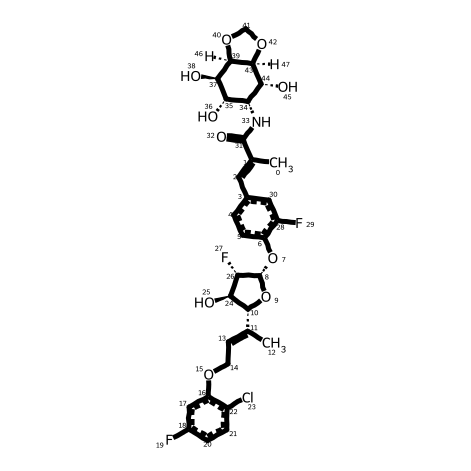 C/C(=C\c1ccc(O[C@@H]2O[C@H](/C(C)=C/COc3cc(F)ccc3Cl)[C@@H](O)[C@@H]2F)c(F)c1)C(=O)N[C@@H]1[C@H](O)[C@@H](O)[C@H]2OCO[C@H]2[C@@H]1O